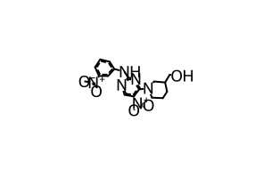 O=[N+]([O-])c1cccc(Nc2ncc([N+](=O)[O-])c(N3CCCC(CO)C3)n2)c1